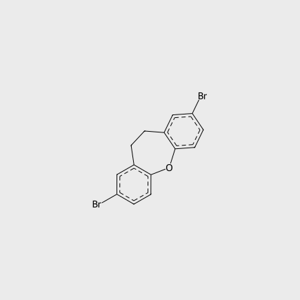 Brc1ccc2c(c1)CCc1cc(Br)ccc1O2